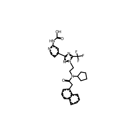 O=C(O)Nc1cc(-c2nc(C(F)(F)F)n(CCN(C(=O)Cc3cccc4ccccc34)C3CCCC3)n2)ccn1